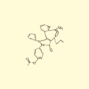 CCCCc1c(-c2cccnc2C(=O)O)n(-c2ccccc2)n(-c2ccc(OC(C)=O)cc2)c1=O